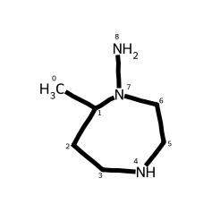 CC1CCNCCN1N